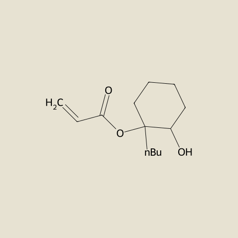 C=CC(=O)OC1(CCCC)CCCCC1O